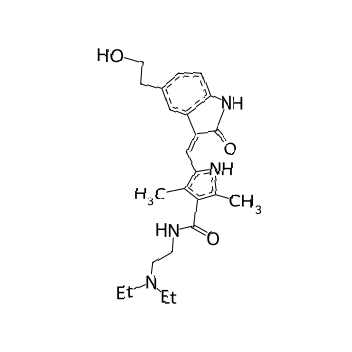 CCN(CC)CCNC(=O)c1c(C)[nH]c(/C=C2\C(=O)Nc3ccc(CCO)cc32)c1C